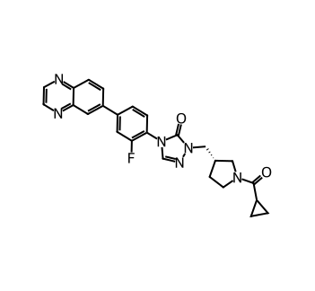 O=C(C1CC1)N1CC[C@H](Cn2ncn(-c3ccc(-c4ccc5nccnc5c4)cc3F)c2=O)C1